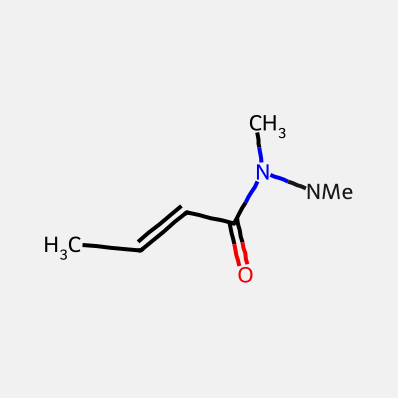 CC=CC(=O)N(C)NC